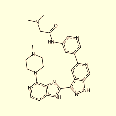 CN(C)CC(=O)Nc1cncc(-c2cc3c(-c4nc5c(N6CCN(C)CC6)nccc5[nH]4)n[nH]c3cn2)c1